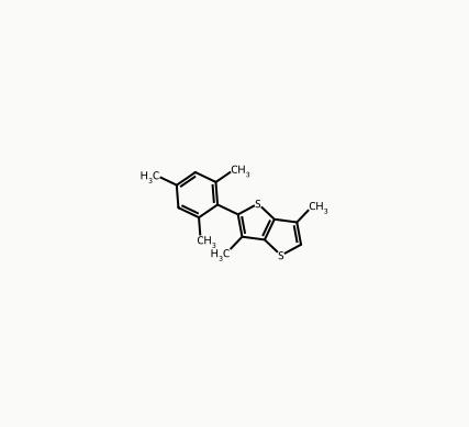 Cc1cc(C)c(-c2sc3c(C)csc3c2C)c(C)c1